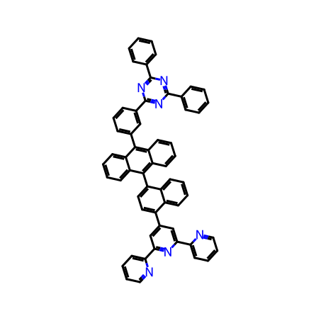 c1ccc(-c2nc(-c3ccccc3)nc(-c3cccc(-c4c5ccccc5c(-c5ccc(-c6cc(-c7ccccn7)nc(-c7ccccn7)c6)c6ccccc56)c5ccccc45)c3)n2)cc1